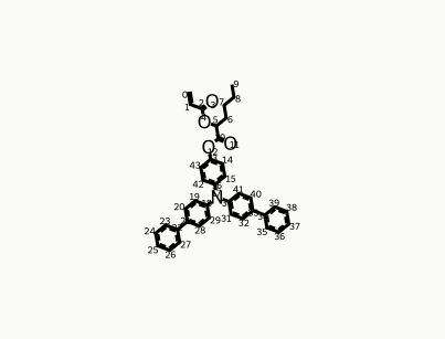 C=CC(=O)OC(CCCC)C(=O)Oc1ccc(N(c2ccc(-c3ccccc3)cc2)c2ccc(-c3ccccc3)cc2)cc1